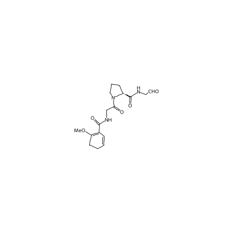 COC1=C(C(=O)NCC(=O)N2CCC[C@H]2C(=O)NCC=O)C=CCC1